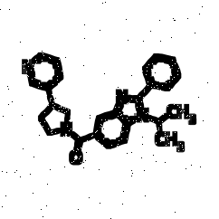 CC(C)n1c(-c2ccccc2)nc2cc(C(=O)N3CCC(c4cccnc4)C3)ccc21